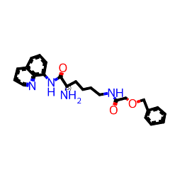 N[C@@H](CCCCNC(=O)COCc1ccccc1)C(=O)Nc1cccc2cccnc12